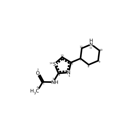 CC(=O)Nc1nc(C2CCCNC2)cs1